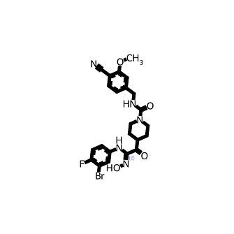 COc1cc(CNC(=O)N2CCC(C(=O)/C(=N/O)Nc3ccc(F)c(Br)c3)CC2)ccc1C#N